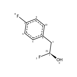 O[C@@H](F)Cc1ccc(F)cc1